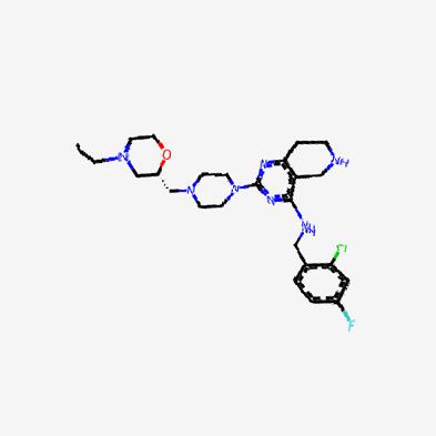 CCN1CCO[C@H](CN2CCN(c3nc4c(c(NCc5ccc(F)cc5Cl)n3)CNCC4)CC2)C1